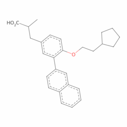 CC(Cc1ccc(OCCC2CCCC2)c(-c2ccc3ccccc3c2)c1)C(=O)O